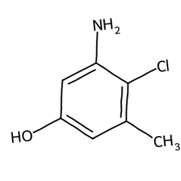 Cc1cc(O)cc(N)c1Cl